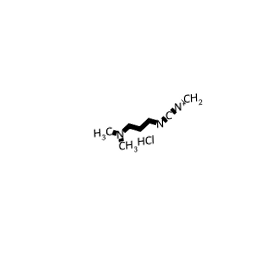 C=[N+]=C=NCCCN(C)C.Cl